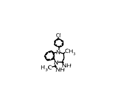 CC(=N)N1C(=N)CC(C)N(c2ccc(Cl)cc2)c2ccccc21